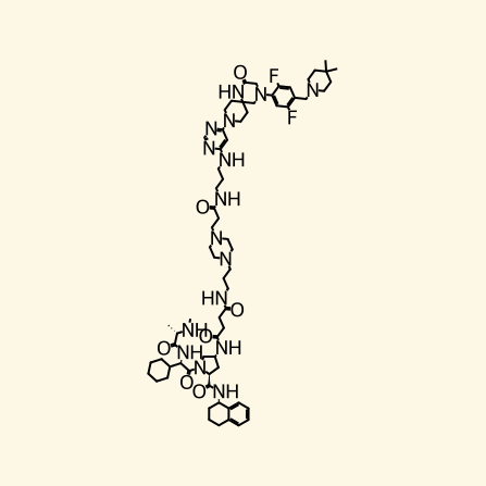 CN[C@@H](C)C(=O)N[C@H](C(=O)N1C[C@@H](NC(=O)CCC(=O)NCCCN2CCN(CCC(=O)NCCCNc3cc(N4CCC5(CC4)CN(c4cc(F)c(CN6CCC(C)(C)CC6)cc4F)CC(=O)N5)ncn3)CC2)C[C@H]1C(=O)N[C@H]1CCCc2ccccc21)C1CCCCC1